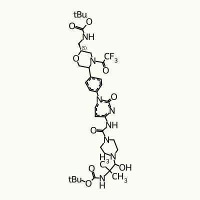 CC(C)(C)OC(=O)NC[C@H]1CN(C(=O)C(F)(F)F)C(c2ccc(-n3ccc(NC(=O)N4CCN(C(O)C(C)(C)NC(=O)OC(C)(C)C)CC4)nc3=O)cc2)CO1